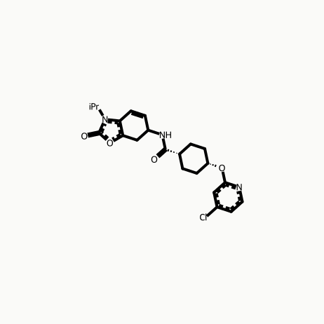 CC(C)n1c2c(oc1=O)CC(NC(=O)[C@H]1CC[C@@H](Oc3cc(Cl)ccn3)CC1)C=C2